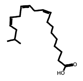 CC(C)C/C=C\C/C=C\C/C=C\CCCCCCCC(=O)O